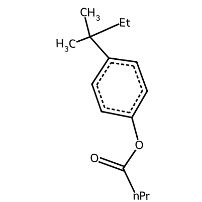 CCCC(=O)Oc1ccc(C(C)(C)CC)cc1